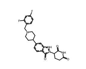 O=C1CCC(n2[nH]c3cc(C4CCN(Cc5ccc(F)cc5F)CC4)ccc3c2=O)C(=O)N1